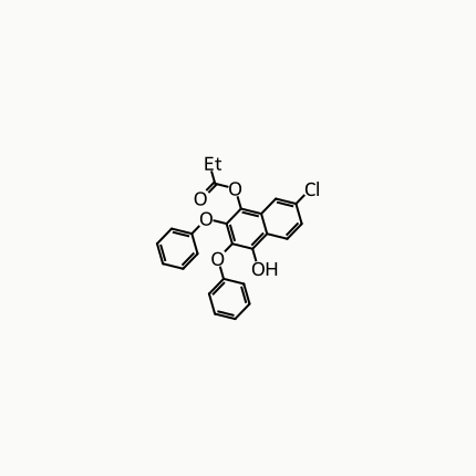 CCC(=O)Oc1c(Oc2ccccc2)c(Oc2ccccc2)c(O)c2ccc(Cl)cc12